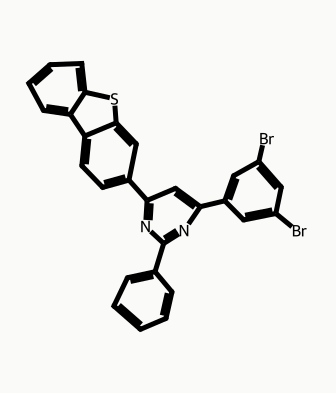 Brc1cc(Br)cc(-c2cc(-c3ccc4c(c3)sc3ccccc34)nc(-c3ccccc3)n2)c1